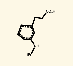 CC(C)Nc1cccc(CCC(=O)O)c1